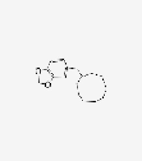 c1cc2c(cc1C[C]1CCCCCCCC1)OCO2